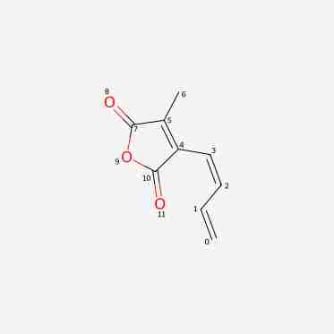 C=C/C=C\C1=C(C)C(=O)OC1=O